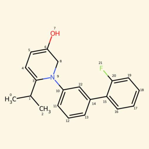 CC(C)C1=CC=C(O)CN1c1cccc(-c2ccccc2F)c1